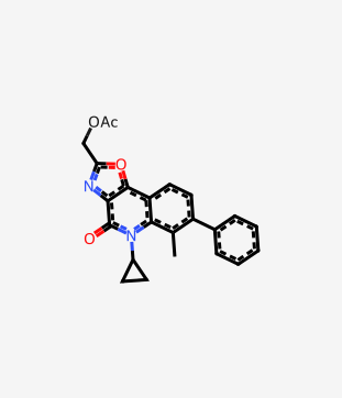 CC(=O)OCc1nc2c(=O)n(C3CC3)c3c(C)c(-c4ccccc4)ccc3c2o1